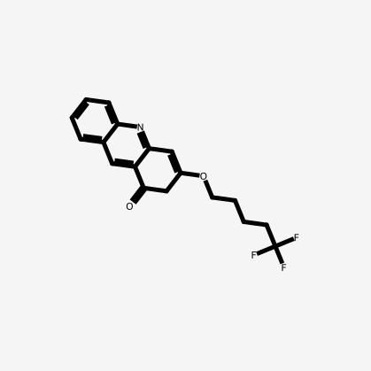 O=C1CC(OCCCCC(F)(F)F)=Cc2nc3ccccc3cc21